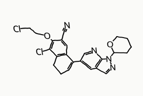 N#Cc1cc2c(c(Cl)c1OCCCl)CCC=C2c1cnc2c(cnn2C2CCCCO2)c1